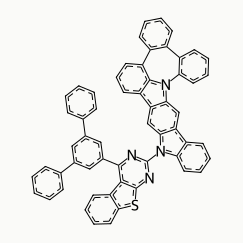 c1ccc(-c2cc(-c3ccccc3)cc(-c3nc(-n4c5ccccc5c5cc6c(cc54)c4cccc5c4n6-c4ccccc4-c4ccccc4-5)nc4sc5ccccc5c34)c2)cc1